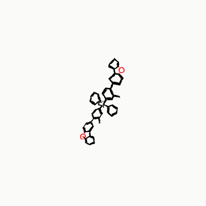 Cc1cc([Si](c2ccccc2)(c2ccccc2)c2ccc(-c3ccc4oc5ccccc5c4c3)c(C)c2)ccc1-c1ccc2oc3ccccc3c2c1